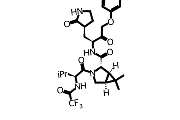 CC(C)[C@H](NC(=O)C(F)(F)F)C(=O)N1C[C@H]2[C@@H]([C@H]1C(=O)N[C@@H](C[C@@H]1CCNC1=O)C(=O)COc1cc(F)cc(F)c1)C2(C)C